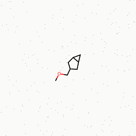 COCC1[CH]C2CC2C1